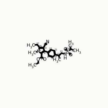 CCOC(=O)c1c(-c2ccc(C(C)CNS(=O)(=O)C(C)C)cc2)c(C#N)c(CC)n1C